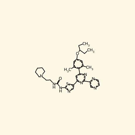 CCC(CC)Oc1cc(C)c(-c2cc(-c3cnc(NC(=O)NCCN4CCCCC4)s3)nc(-c3cnccn3)n2)c(C)c1